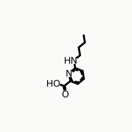 CCCCNc1cccc(C(=O)O)n1